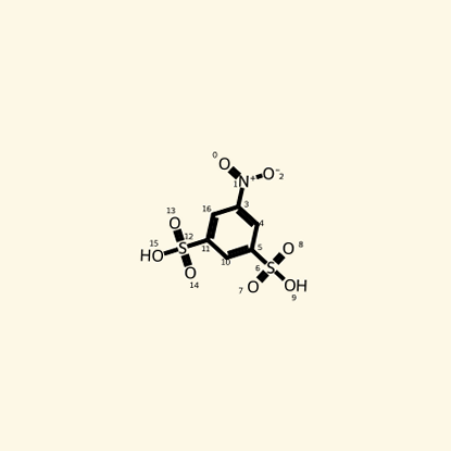 O=[N+]([O-])c1cc(S(=O)(=O)O)cc(S(=O)(=O)O)c1